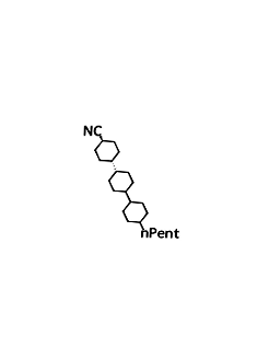 CCCCCC1CCC(C2CCC([C@H]3CC[C@H](C#N)CC3)CC2)CC1